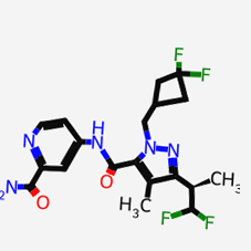 Cc1c([C@@H](C)C(F)F)nn(CC2CC(F)(F)C2)c1C(=O)Nc1ccnc(C(N)=O)c1